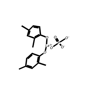 Cc1ccc([O][La+3][O]c2ccc(C)cc2C)c(C)c1.O=P([O-])([O-])[O-]